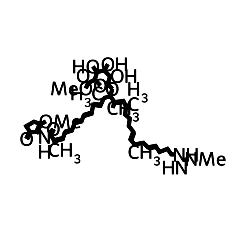 CNC(=N)NCCCC=CCC(C)C=CCCCC(C)C=C(C)C(OC1OC(C(=O)OC)C(O)C(O)C1O)C(C)C=CC=CC=CC=CC=C(C)C(=O)NC1=C(OC)CCC1=O